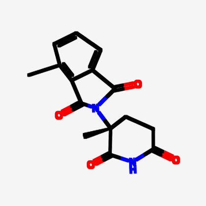 Cc1cccc2c1C(=O)N([C@]1(C)CCC(=O)NC1=O)C2=O